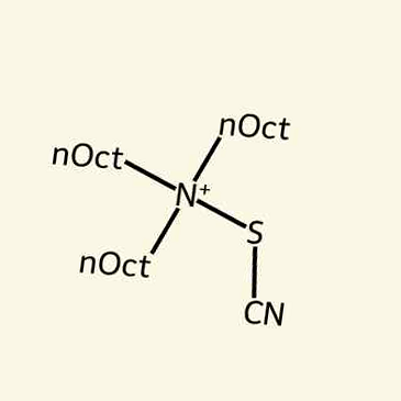 CCCCCCCC[N+](CCCCCCCC)(CCCCCCCC)SC#N